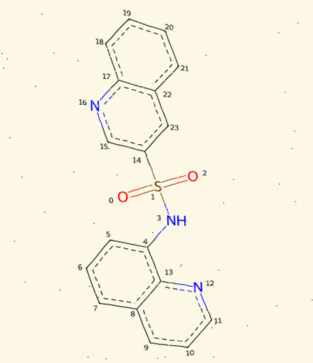 O=S(=O)(Nc1cccc2cccnc12)c1cnc2ccccc2c1